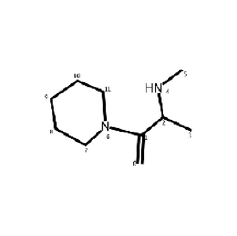 C=C(C(C)NC)N1CCCCC1